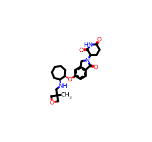 CC1(CN[C@H]2CCCCC[C@H]2Oc2ccc3c(c2)CN(C2CCC(=O)NC2=O)C3=O)COC1